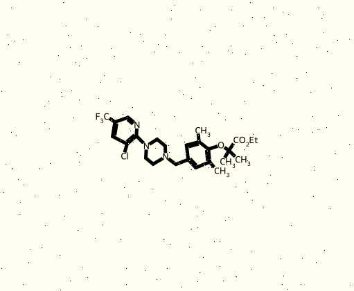 CCOC(=O)C(C)(C)Oc1c(C)cc(CN2CCN(c3ncc(C(F)(F)F)cc3Cl)CC2)cc1C